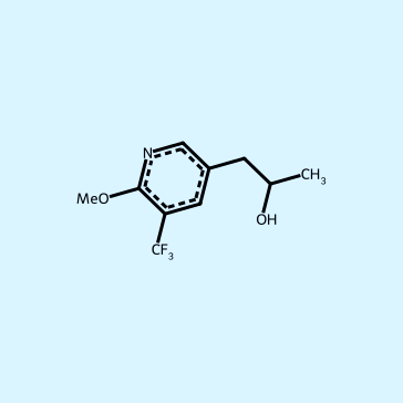 COc1ncc(CC(C)O)cc1C(F)(F)F